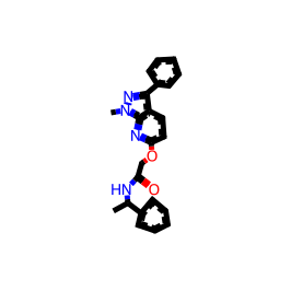 CC(NC(=O)COc1ccc2c(-c3ccccc3)nn(C)c2n1)c1ccccc1